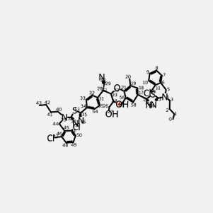 CCCCN(Cc1ccccc1Cl)c1nnc(-c2cc(C)c(OC(C(O)CO)[C@H](C#N)c3ccc(-c4nnc(N(CCCC)Cc5c(Cl)cccc5Cl)s4)cc3)c(C)c2)s1